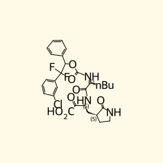 CCCC[C@H](NC(=O)OC(c1ccccc1)C(F)(F)c1cccc(Cl)c1)C(=O)N[C@@H](C[C@@H]1CCNC1=O)C(=O)C(=O)O